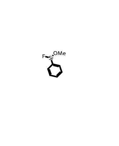 CO[Si](F)c1ccccc1